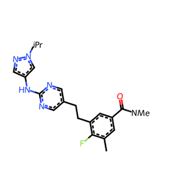 CNC(=O)c1cc(C)c(F)c(CCc2cnc(Nc3cnn(C(C)C)c3)nc2)c1